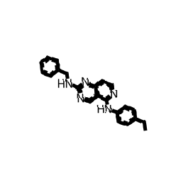 CCc1ccc(Nc2nccc3nc(NCc4ccccc4)ncc23)cc1